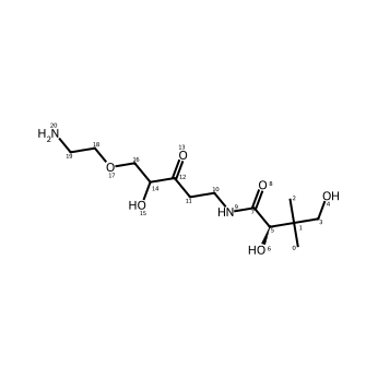 CC(C)(CO)[C@@H](O)C(=O)NCCC(=O)C(O)COCCN